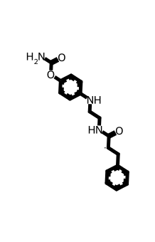 NC(=O)Oc1ccc(NCCNC(=O)[CH]Cc2ccccc2)cc1